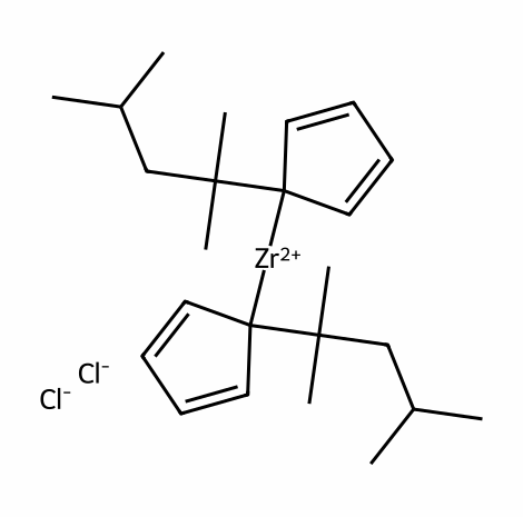 CC(C)CC(C)(C)[C]1([Zr+2][C]2(C(C)(C)CC(C)C)C=CC=C2)C=CC=C1.[Cl-].[Cl-]